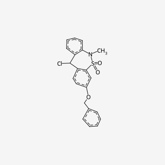 CN1c2ccccc2C(Cl)c2ccc(OCc3ccccc3)cc2S1(=O)=O